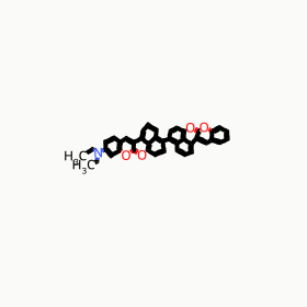 CCN(CC)c1ccc2cc(-c3cccc4c(-c5cccc6c(-c7cc8ccccc8oc7=O)cccc56)cccc34)c(=O)oc2c1